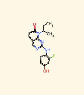 CCC(C)n1c(=O)ccc2cnc(Nc3ccc(O)cc3F)nc21